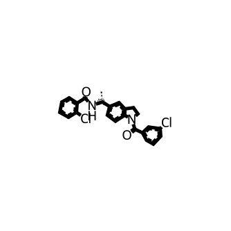 C[C@@H](NC(=O)c1ccccc1Cl)c1ccc2c(c1)CCN2C(=O)c1cccc(Cl)c1